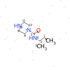 CC[C@H](C)NC(=O)N1CCNCC1